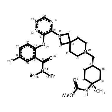 COC(=O)N[C@]1(C)CC[C@@H](CN2CCC3(CC2)CN(c2ncnnc2Oc2ccc(F)cc2C(=O)N(C(C)C)C(C)C)C3)CC1